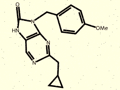 COc1ccc(Cn2c(=O)[nH]c3cnc(CC4CC4)nc32)cc1